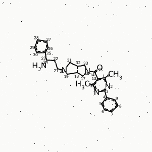 Cc1nc(-c2ccccc2)nc(C)c1C(=O)N1CC2CN(CC[C@H](N)c3ccccc3)CC2C1